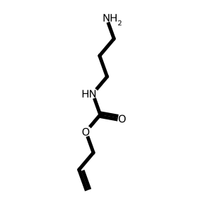 C=CCOC(=O)NCCCN